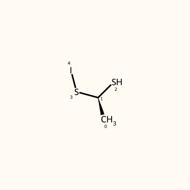 C[C@H](S)SI